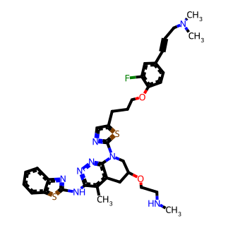 CNCCOC1Cc2c(nnc(Nc3nc4ccccc4s3)c2C)N(c2ncc(CCCOc3ccc(C#CCN(C)C)cc3F)s2)C1